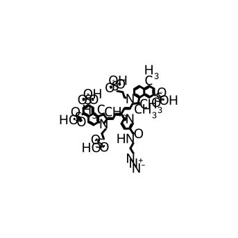 Cc1cc(S(=O)(=O)O)cc2c3c(ccc12)[N+](CCCS(=O)(=O)O)=C(/C=C/C(=C/C=C1/N(CCCS(=O)(=O)O)c2ccc4c(S(=O)(=O)O)cc(S(=O)(=O)O)cc4c2C1(C)C)c1ccc(C(=O)NCCCN=[N+]=[N-])cn1)C3(C)C